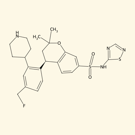 CC1(C)C[C@H](c2ccc(CF)cc2C2CCNCC2)c2ccc(S(=O)(=O)Nc3ncns3)cc2O1